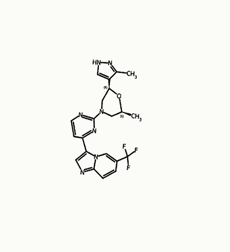 Cc1n[nH]cc1[C@@H]1CN(c2nccc(-c3cnc4ccc(C(F)(F)F)cn34)n2)C[C@H](C)O1